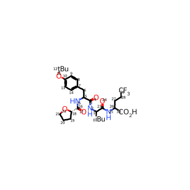 CCC(C)C(NC(=O)C(Cc1ccc(OC(C)(C)C)cc1)NC(=O)[C@@H]1CCCO1)C(=O)NC(CCC(F)(F)F)C(=O)O